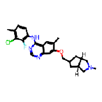 Cc1cc2c(Nc3ccc(C)c(Cl)c3F)ncnc2cc1OCC1C[C@@H]2CN(C)C[C@@H]2C1